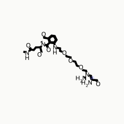 CNC(=O)CCC(C=O)N(C)C(=O)c1c(C=O)cccc1NCCOCCOCCOCCN(N)/C=C(\N)C=O